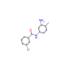 Cc1ccc(NC(=O)c2cccc(Cl)c2)cc1N